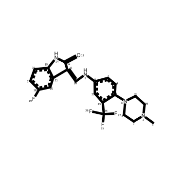 CN1CCN(c2ccc(NC=C3C(=O)Nc4ccc(F)cc43)cc2C(F)(F)F)CC1